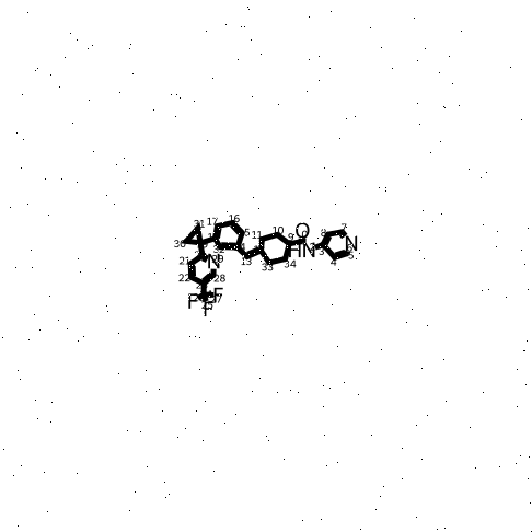 O=C(Nc1ccncc1)C1CCC(=Cc2cccc(C3(c4ccc(C(F)(F)F)cn4)CC3)c2)CC1